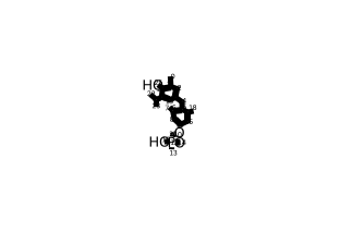 Cc1cc(Cc2c(C)cc(OCP(C)(=O)O)cc2C)cc(C(C)C)c1O